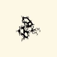 CC(C)(C)OC(=O)C1C2CCN(c3ncnc4c(F)cncc34)N1CC2